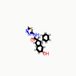 C[C@]1(C(=O)Nc2nncs2)Cc2ccc(O)cc2[C@H]1c1ccccc1